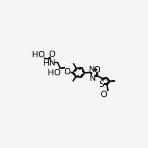 Cc1cc(-c2nc(-c3cc(C)c(OC[C@@H](O)CNC(=O)CO)c(C)c3)no2)sc1C=O